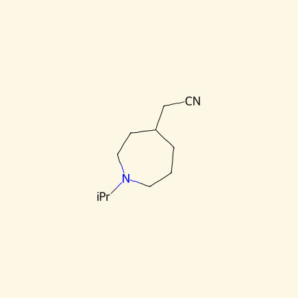 CC(C)N1CCCC(CC#N)CC1